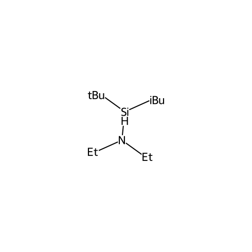 CCC(C)[SiH](N(CC)CC)C(C)(C)C